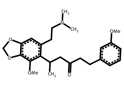 COc1cccc(CCC(=O)CC(C)c2c(CCN(C)C)cc3c(c2OC)OCO3)c1